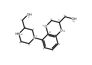 OCC1CN(c2cccc3c2OCC(CO)O3)CCN1